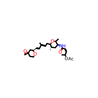 CC(=O)OC(C)/C=C\C(=O)NC1C[C@H](C)C(C/C=C(C)/C=C/[C@@H]2CC3(CCO2)CO3)OC1C